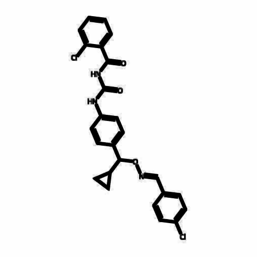 O=C(NC(=O)c1ccccc1Cl)Nc1ccc(C(ON=Cc2ccc(Cl)cc2)C2CC2)cc1